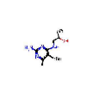 CCCCc1c(C)nc(N)nc1NCC(O)CCC